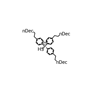 CCCCCCCCCCCCc1ccc([PH](S)(c2ccc(CCCCCCCCCCCC)cc2)c2ccc(CCCCCCCCCCCC)cc2)cc1